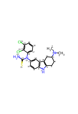 CN(C)C1CCc2[nH]c3ccc(N(C(N)=S)c4cccc(Cl)c4Cl)cc3c2C1